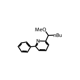 CCCCC(OC)c1cccc(-c2ccccc2)n1